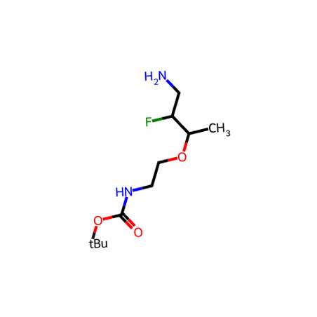 CC(OCCNC(=O)OC(C)(C)C)C(F)CN